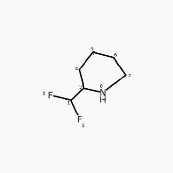 FC(F)C1C[CH]CCN1